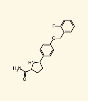 NC(=O)[C@@H]1CCC(c2ccc(OCc3ccccc3F)cc2)N1